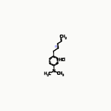 C=C/C=C/Cc1ccc(N(C)C)cc1.Cl